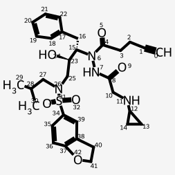 C#CCCC(=O)N(NC(=O)CNC1CC1)[C@@H](Cc1ccccc1)[C@H](O)CN(CC(C)C)S(=O)(=O)c1ccc2c(c1)CCO2